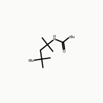 CC(C)(CC(C)(C)C(C)(C)C)NC(=O)C(C)(C)C